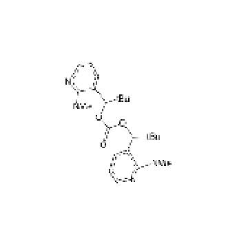 CNc1ncccc1C(OC(=O)OC(c1cccnc1NC)C(C)(C)C)C(C)(C)C